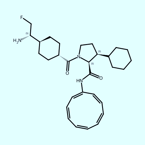 N[C@H](CF)[C@H]1CC[C@H](C(=O)N2CC[C@@H](C3CCCCC3)[C@H]2C(=O)Nc2ccccccccc2)CC1